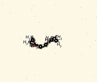 Cc1ccc2c(c1)C(C)CC(C)(C)N2CC(O)COc1ccc(Cc2ccc(OCC(O)CN3c4ccc(C)cc4C(C)CC3(C)C)cc2)cc1